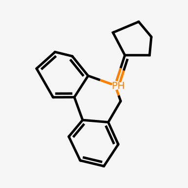 c1ccc2c(c1)C[PH](=C1CCCC1)c1ccccc1-2